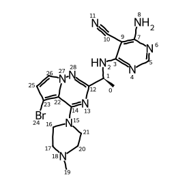 C[C@H](Nc1ncnc(N)c1C#N)c1nc(N2CCN(C)CC2)c2c(Br)ccn2n1